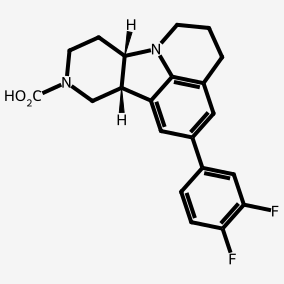 O=C(O)N1CC[C@H]2[C@@H](C1)c1cc(-c3ccc(F)c(F)c3)cc3c1N2CCC3